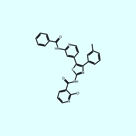 Cc1cccc(-c2nc(NC(=O)c3cccnc3Cl)sc2-c2ccnc(NC(=O)c3ccccc3)c2)c1